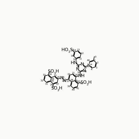 Cc1ccc[n+](-c2nc(Nc3cccc(S(=O)(=O)O)c3)nc(Nc3ccc(N=Nc4cc(S(=O)(=O)O)c5cccc(S(=O)(=O)O)c5c4)c4cccc(S(=O)(=O)O)c34)n2)c1